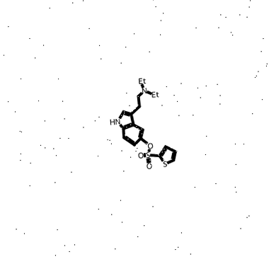 CCN(CC)CCc1c[nH]c2ccc(OS(=O)(=O)c3cccs3)cc12